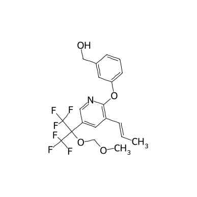 CC=Cc1cc(C(OCOC)(C(F)(F)F)C(F)(F)F)cnc1Oc1cccc(CO)c1